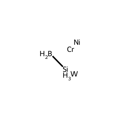 B[SiH3].[Cr].[Ni].[W]